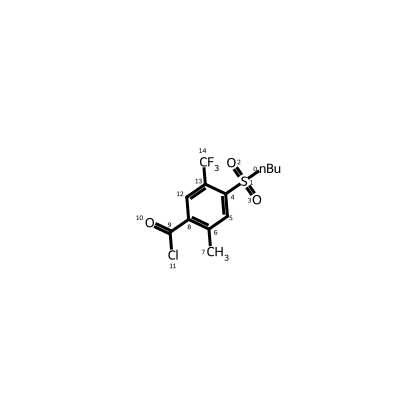 CCCCS(=O)(=O)c1cc(C)c(C(=O)Cl)cc1C(F)(F)F